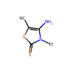 CCn1c(N)c(C#N)sc1=S